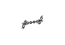 CC1(F)CCN(C(=O)C(=O)N2CCC(C)(C)C2c2nc(-c3ccc(-c4ccc(-c5c[nH]c(C6N(C(=O)C(=O)N7CCC(F)(F)CC7)CCC6(C)C)n5)cc4)cc3)c[nH]2)CC1